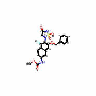 CC(C)(C)OC(=O)Nc1ccc2c(F)c(N3CC(=O)NS3(=O)=O)c(OCc3ccccc3)cc2c1